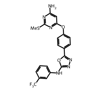 CSc1nc(N)cc(Oc2ccc(-c3nnc(Nc4cccc(C(F)(F)F)c4)o3)cc2)n1